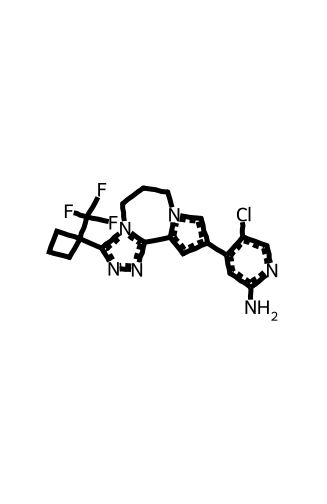 Nc1cc(-c2cc3n(c2)CCCn2c-3nnc2C2(C(F)(F)F)CCC2)c(Cl)cn1